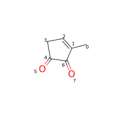 CC1=CCC(=O)C1=O